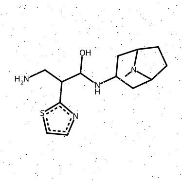 CN1C2CCC1CC(NC(O)C(CN)c1nccs1)C2